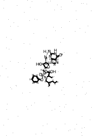 CCCC(C)CN(C(C)C(=O)O)[P@@](=O)(OC[C@H]1O[C@@H](n2cnc3c(=O)[nH]c(N)nc32)[C@H](C#N)[C@@H]1O)Oc1ccccc1